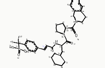 O=C(/C=C/c1ccc(C(F)(F)P(=O)(O)O)cc1)NC(CC1CCCCC1)C(=O)N1CCC[C@H]1C(=O)N1CCc2ccccc2C1